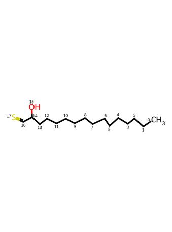 CCCCCCCCCCCCCCC(O)C=S